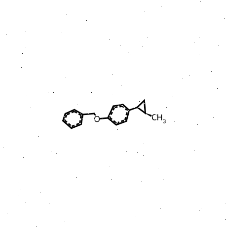 C[C@@H]1CC1c1ccc(OCc2ccccc2)cc1